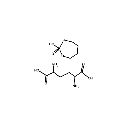 NC(CCC(N)C(=O)O)C(=O)O.O=P1(O)OCCCCO1